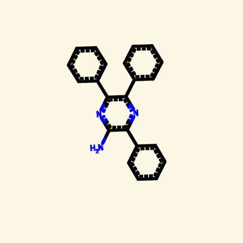 Nc1nc(-c2ccccc2)c(-c2ccccc2)nc1-c1ccccc1